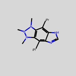 CC(C)c1c2c(c(C(C)C)c3[nH]cnc13)N(C)N(C)N2C